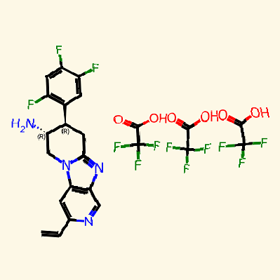 C=Cc1cc2c(cn1)nc1n2C[C@H](N)[C@@H](c2cc(F)c(F)cc2F)C1.O=C(O)C(F)(F)F.O=C(O)C(F)(F)F.O=C(O)C(F)(F)F